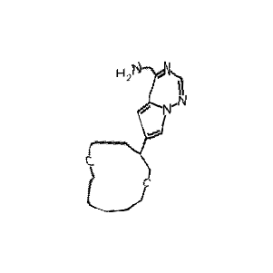 Nc1ncnn2cc(C3CCCCCCCCCC3)cc12